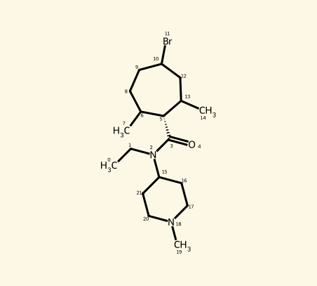 CCN(C(=O)[C@@H]1C(C)CCC(Br)CC1C)C1CCN(C)CC1